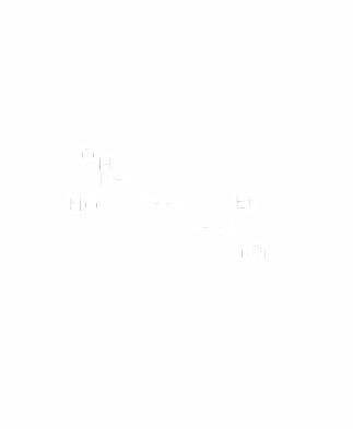 CCCC(CC)CCCC[PH](=O)O